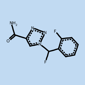 NC(=O)c1cn(C(F)c2ccccc2F)nn1